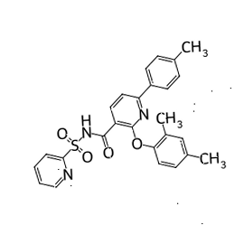 Cc1ccc(-c2ccc(C(=O)NS(=O)(=O)c3ccccn3)c(Oc3ccc(C)cc3C)n2)cc1